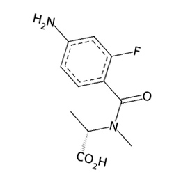 C[C@@H](C(=O)O)N(C)C(=O)c1ccc(N)cc1F